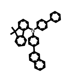 CC1(C)c2ccccc2-c2c(N(c3ccc(-c4ccccc4)cc3)c3ccc(-c4ccc5ccccc5c4)cc3)cccc21